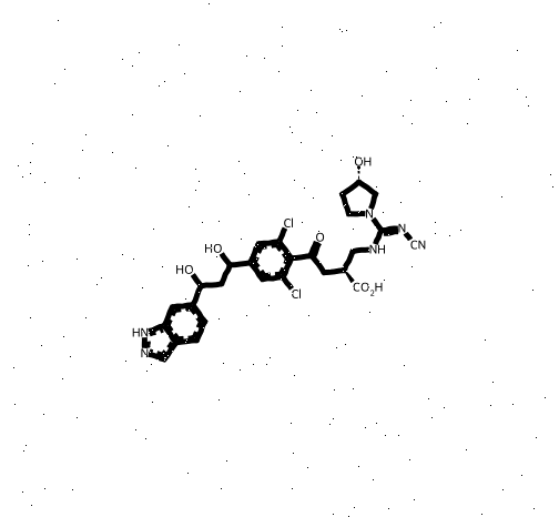 N#C/N=C(\NC[C@H](CC(=O)c1c(Cl)cc(C(O)CC(O)c2ccc3cn[nH]c3c2)cc1Cl)C(=O)O)N1CC[C@H](O)C1